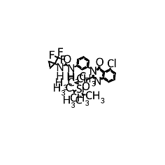 CC(O[Si](C(C)C)(C(C)C)C(C)C)c1nc2cccc(Cl)c2c(=O)n1-c1cccc(NC(=O)NC2(C(F)(F)F)CC2)c1